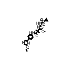 CCOc1cncc(-c2ccc(NC(=O)C(C)(C)c3nc(NS(=O)(=O)C4CC4)sc3OC)cc2)n1